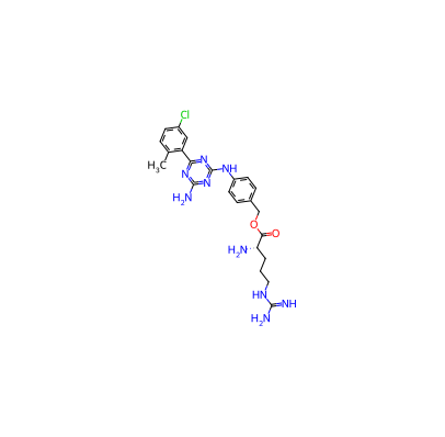 Cc1ccc(Cl)cc1-c1nc(N)nc(Nc2ccc(COC(=O)[C@@H](N)CCCNC(=N)N)cc2)n1